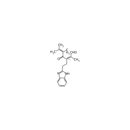 CC(C)=C(C)C(=O)/C(CCc1nc2ccccc2[nH]1)=C(/C)C=O